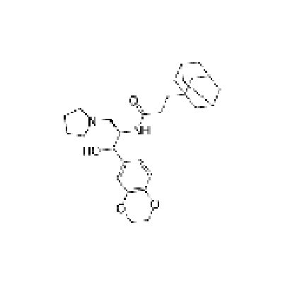 O=C(CCC12CC3CC(CC(C3)C1)C2)N[C@H](CN1CCCC1)C(O)c1ccc2c(c1)OCCO2